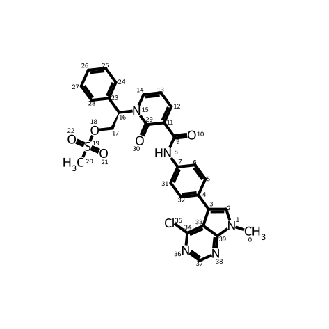 Cn1cc(-c2ccc(NC(=O)c3cccn([C@@H](COS(C)(=O)=O)c4ccccc4)c3=O)cc2)c2c(Cl)ncnc21